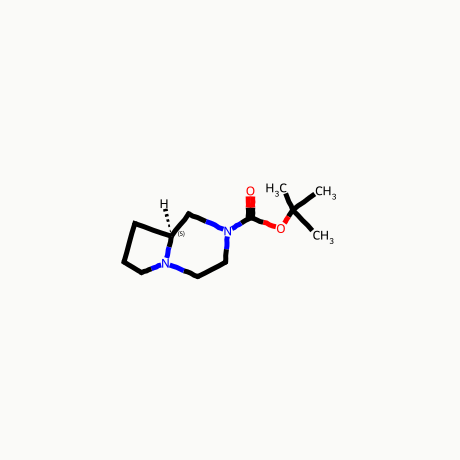 CC(C)(C)OC(=O)N1CCN2CCC[C@H]2C1